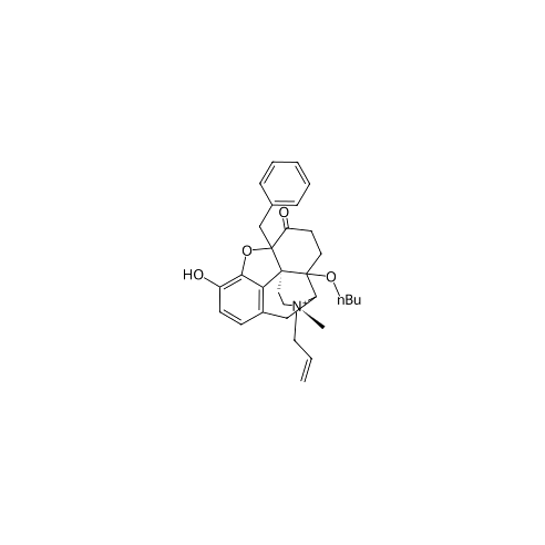 C=CC[N@+]1(C)CC[C@]23c4c5ccc(O)c4OC2(Cc2ccccc2)C(=O)CCC3(OCCCC)C1C5